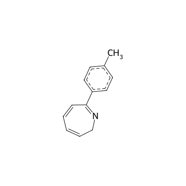 Cc1ccc(C2=NCC=CC=C2)cc1